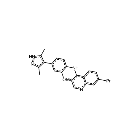 COc1cc(-c2c(C)n[nH]c2C)ccc1Nc1ccnc2cc(C(C)C)ccc12